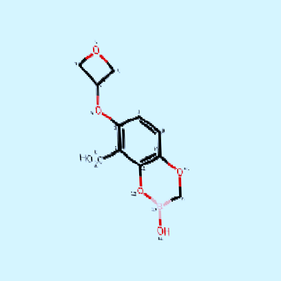 O=C(O)c1c(OC2COC2)ccc2c1OB(O)CO2